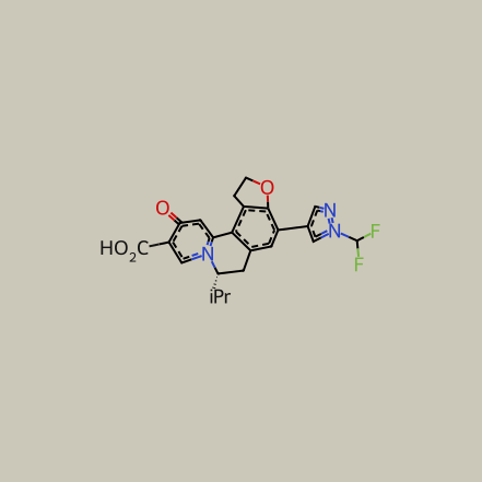 CC(C)[C@H]1Cc2cc(-c3cnn(C(F)F)c3)c3c(c2-c2cc(=O)c(C(=O)O)cn21)CCO3